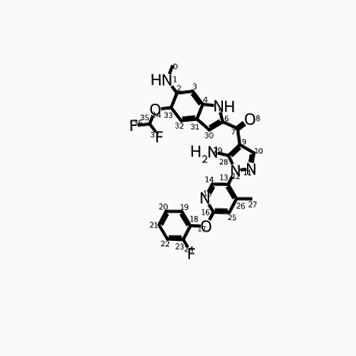 CNC1C=c2[nH]c(C(=O)c3cnn(-c4cnc(Oc5ccccc5F)cc4C)c3N)cc2=CC1OC(F)F